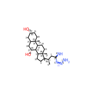 C[C@H](CC(=N)/N=N\N)[C@H]1CCC2C3C(CC[C@@]21C)[C@@]1(C)CC[C@@H](O)CC1C[C@H]3O